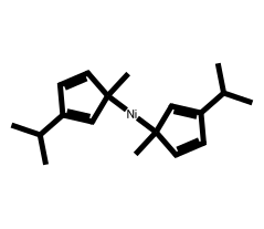 CC(C)C1=C[C](C)([Ni][C]2(C)C=CC(C(C)C)=C2)C=C1